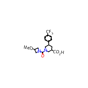 COC1CN(C(=O)N2CC(C(=O)O)CC(c3ccc(C(F)(F)F)cc3)C2)C1